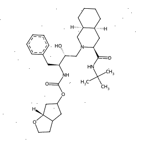 CC(C)(C)NC(=O)[C@@H]1C[C@@H]2CCCC[C@@H]2CN1C[C@@H](O)[C@H](Cc1ccccc1)NC(=O)OC1CC2CCO[C@@H]2C1